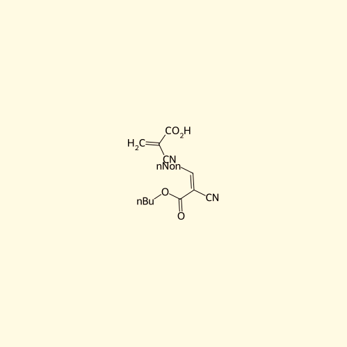 C=C(C#N)C(=O)O.CCCCCCCCCC=C(C#N)C(=O)OCCCC